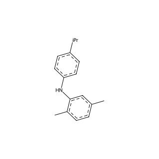 Cc1ccc(C)c(Nc2ccc(C(C)C)cc2)c1